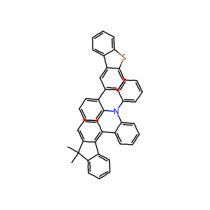 CC1(C)c2ccccc2-c2c(-c3ccccc3N(c3ccccc3)c3ccccc3-c3ccc4sc5ccccc5c4c3)cccc21